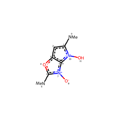 CNc1cc2oc(NC)[n+]([O-])c2n1O